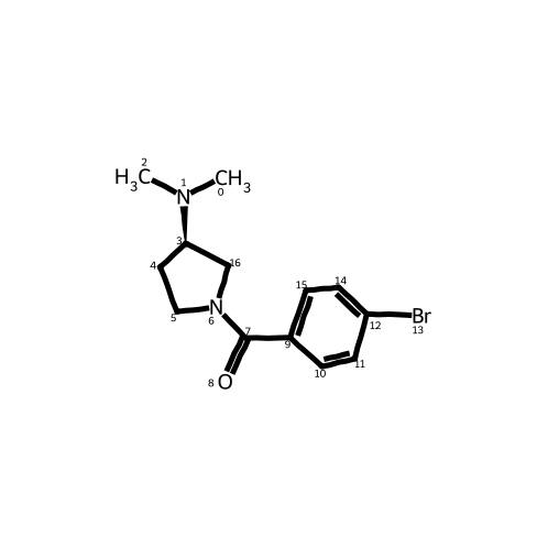 CN(C)[C@@H]1CCN(C(=O)c2ccc(Br)cc2)C1